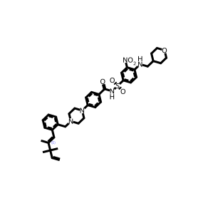 C=CC(C)(C)/C(C)=C/c1ccccc1CN1CCN(c2ccc(C(=O)NS(=O)(=O)c3ccc(NCC4CCOCC4)c([N+](=O)[O-])c3)cc2)CC1